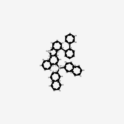 c1ccc(-c2ccccc2-c2cccc3oc4c5ccccc5c(N(c5ccc6ccccc6c5)c5ccc6ccccc6c5)cc4c23)cc1